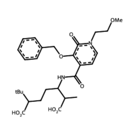 COCCn1ccc(C(=O)NC(CCC(C(=O)O)C(C)(C)C)C(C)C(=O)O)c(OCc2ccccc2)c1=O